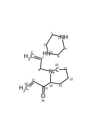 C1CNCCN1.C=CCN1CCCCC1C(=O)C=C